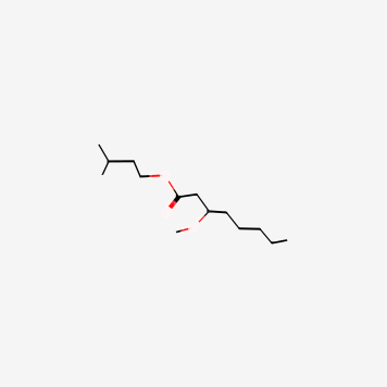 CCCCCC(CC(=O)OCCC(C)C)OC